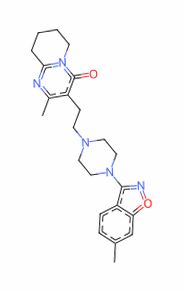 Cc1ccc2c(N3CCN(CCc4c(C)nc5n(c4=O)CCCC5)CC3)noc2c1